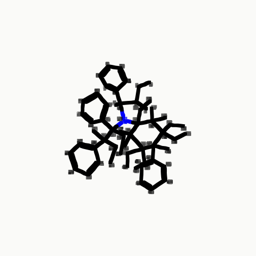 CCC(C)C(C)(c1ccccc1)N(C(CC)(c1ccccc1)C(C)(CC)c1ccccc1)C1(CC)C(C)(C)C(CC)(CC)C(C)(c2ccccc2)C(CC)(CC)C1(C)C